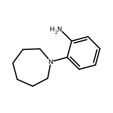 Nc1ccccc1N1CCCCCC1